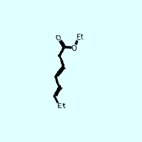 CCC=CC=CCC(=O)OCC